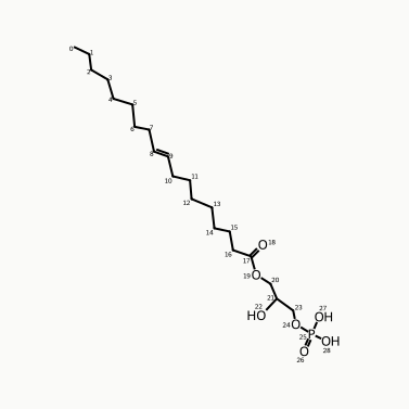 CCCCCCCCC=CCCCCCCCC(=O)OCC(O)COP(=O)(O)O